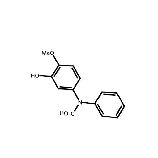 COc1ccc(N(C(=O)O)c2ccccc2)cc1O